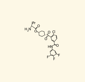 CC(C)C(N)C(=O)O[C@H]1CC[C@H](S(=O)(=O)c2cc(C(=O)Nc3cc(F)c(F)c(F)c3)ccc2Cl)CC1